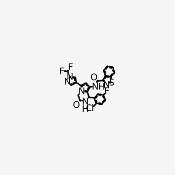 O=C1Cn2c(-c3cnn(C(F)F)c3)cc(NC(=O)c3nsc4ccccc34)c2C(c2cc(F)ccc2Cl)N1